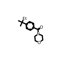 CCC(C)(C)c1ccc(C(=O)N2CCOCC2)cc1